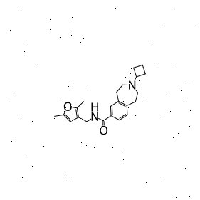 Cc1cc(CNC(=O)c2ccc3c(c2)CCN(C2CCC2)CC3)c(C)o1